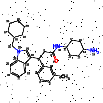 Cc1cccc(C(CC(=O)NC2CCC(N)CC2)c2cn(CC3CCCCC3)c3ccccc23)c1